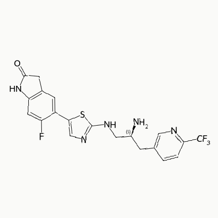 N[C@H](CNc1ncc(-c2cc3c(cc2F)NC(=O)C3)s1)Cc1ccc(C(F)(F)F)nc1